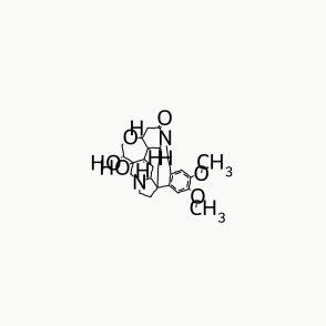 COc1cc2c(cc1OC)C13CCN4CC5(O)[C@H](O)CO[C@H]6CC(=O)N2[C@H]1[C@H]6[C@H]5CC43